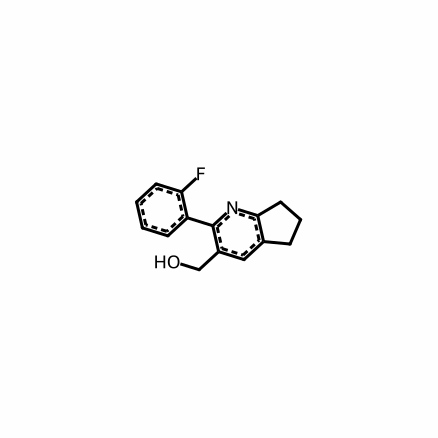 OCc1cc2c(nc1-c1ccccc1F)CCC2